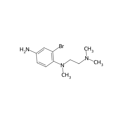 CN(C)CCN(C)c1ccc(N)cc1Br